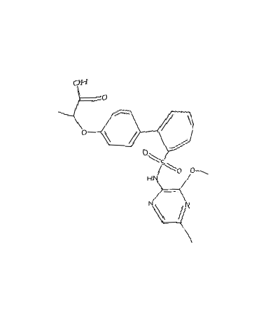 COc1nc(C)cnc1NS(=O)(=O)c1ccccc1-c1ccc(OC(C)C(=O)O)cc1